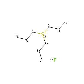 CCC[S+](CCC)CCC.[F-]